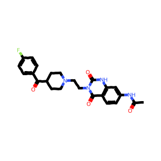 CC(=O)Nc1ccc2c(=O)n(CCN3CCC(C(=O)c4ccc(F)cc4)CC3)c(=O)[nH]c2c1